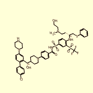 CN(CCO)CC[C@H](CSc1ccccc1)Nc1ccc(S(=O)(=O)NC(=O)c2ccc(N3CCC([C@H](O)c4cc(N5CCNCC5)ccc4-c4ccc(Cl)cc4)CC3)cc2)cc1S(=O)(=O)C(F)(F)F